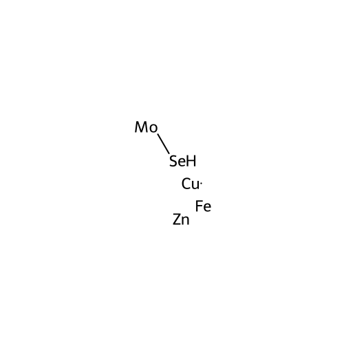 [Cu].[Fe].[SeH][Mo].[Zn]